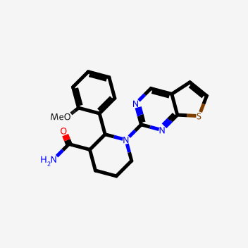 COc1ccccc1C1C(C(N)=O)CCCN1c1ncc2ccsc2n1